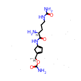 C[C@@H](OC(N)=O)C1=CC=C(NC(=O)[C@@H](N)CCCNC(N)=O)C1